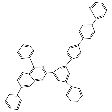 c1ccc(-c2cc(-c3ccc(-c4ccc(-c5ccccn5)cc4)cc3)cc(-c3nc(-c4ccccc4)c4ccc(-c5ccccc5)cc4n3)c2)cc1